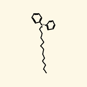 CCCCCCCCCCCC[I+](c1ccccc1)c1ccccc1